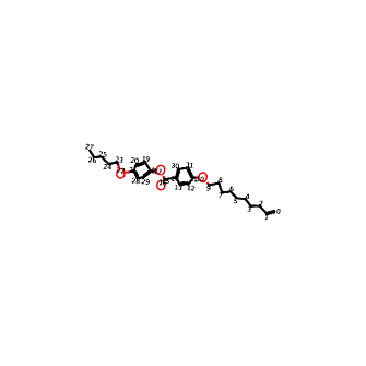 C=CCCCCCCCCOc1ccc(C(=O)Oc2ccc(OCCCCC)cc2)cc1